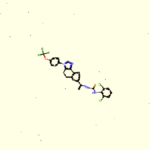 C=C(/N=N/C(=S)Nc1c(Cl)cccc1Cl)c1ccc2c(c1)CCc1c-2ncn1-c1ccc(OC(F)(F)F)cc1